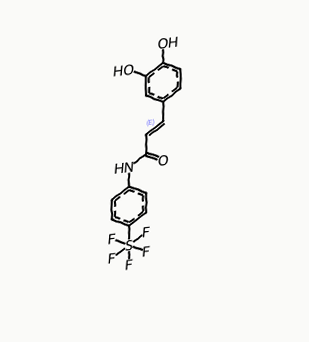 O=C(/C=C/c1ccc(O)c(O)c1)Nc1ccc(S(F)(F)(F)(F)F)cc1